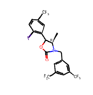 C[C@@H]1C(c2cc(C(F)(F)F)ccc2I)OC(=O)N1Cc1cc(C(F)(F)F)cc(C(F)(F)F)c1